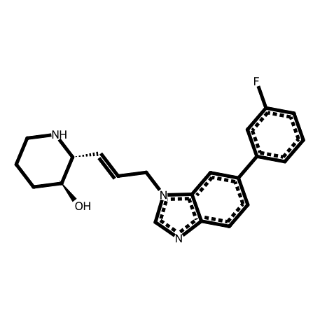 O[C@H]1CCCN[C@@H]1/C=C/Cn1cnc2ccc(-c3cccc(F)c3)cc21